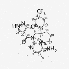 Cc1cnc(N(CC2(c3ccc(C(F)(F)F)cc3)CCCCC2)C(=O)c2c[nH]nc2C(F)(F)F)nc1N